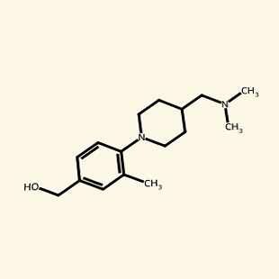 Cc1cc(CO)ccc1N1CCC(CN(C)C)CC1